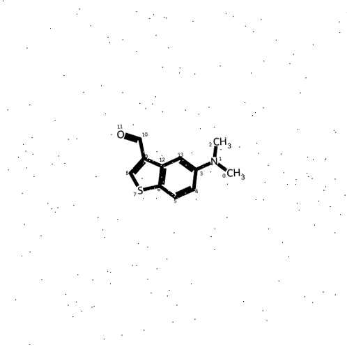 CN(C)c1ccc2scc(C=O)c2c1